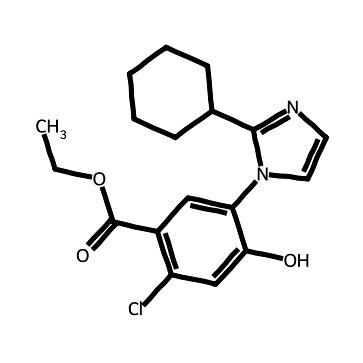 CCOC(=O)c1cc(-n2ccnc2C2CCCCC2)c(O)cc1Cl